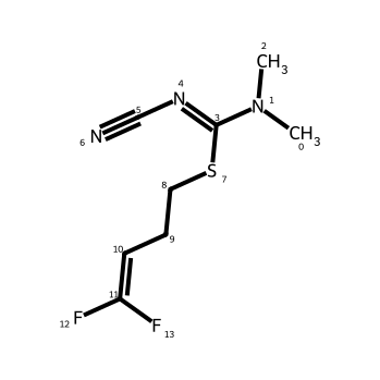 CN(C)C(=NC#N)SCCC=C(F)F